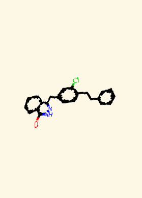 O=c1[nH]nc(Cc2ccc(CCc3ccccc3)c(Cl)c2)c2ccccc12